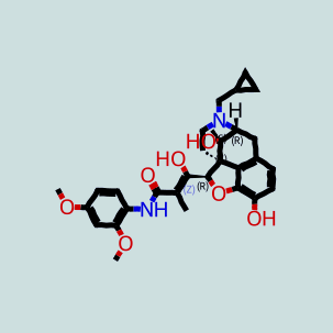 COc1ccc(NC(=O)/C(C)=C(\O)[C@@H]2Oc3c(O)ccc4c3[C@@]23CCN(CC2CC2)[C@H](C4)[C@@]3(C)O)c(OC)c1